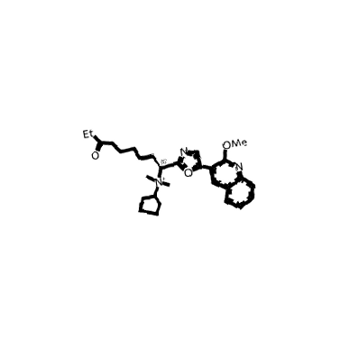 CCC(=O)CCCCC[C@@H](c1ncc(-c2cc3ccccc3nc2OC)o1)[N+](C)(C)C1CCCC1